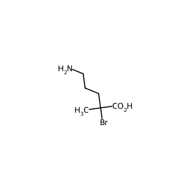 CC(Br)(CCCN)C(=O)O